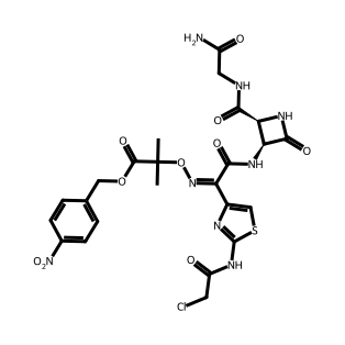 CC(C)(ON=C(C(=O)N[C@@H]1C(=O)N[C@@H]1C(=O)NCC(N)=O)c1csc(NC(=O)CCl)n1)C(=O)OCc1ccc([N+](=O)[O-])cc1